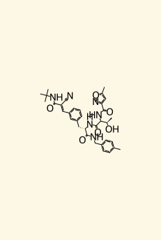 Cc1ccc(CNC(=O)[C@H](Cc2cccc(/C=C(\C#N)C(=O)NC(C)(C)C)c2)NC(=O)[C@@H](NC(=O)c2cc(C)on2)[C@@H](C)O)cc1